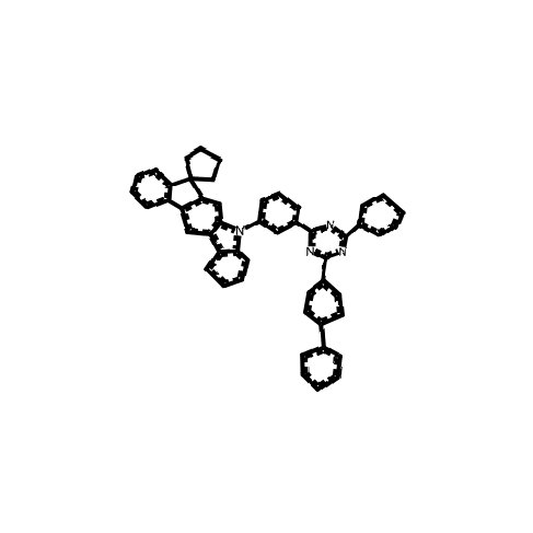 c1ccc(-c2ccc(-c3nc(-c4ccccc4)nc(-c4cccc(-n5c6ccccc6c6cc7c(cc65)C5(CCCC5)c5ccccc5-7)c4)n3)cc2)cc1